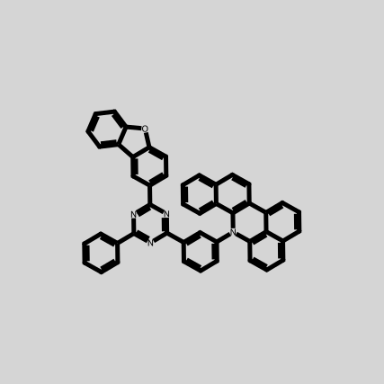 c1ccc(-c2nc(-c3cccc(N4c5c(ccc6ccccc56)-c5cccc6cccc4c56)c3)nc(-c3ccc4oc5ccccc5c4c3)n2)cc1